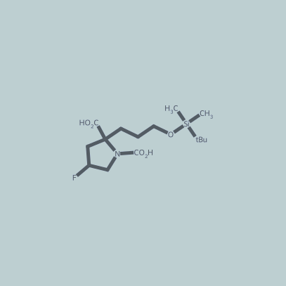 CC(C)(C)[Si](C)(C)OCCCC1(C(=O)O)CC(F)CN1C(=O)O